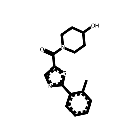 Cc1ccccc1-c1ncc(C(=O)N2CCC(O)CC2)s1